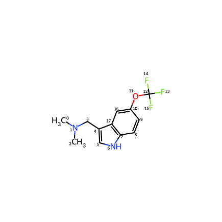 CN(C)Cc1c[nH]c2ccc(OC(F)(F)F)cc12